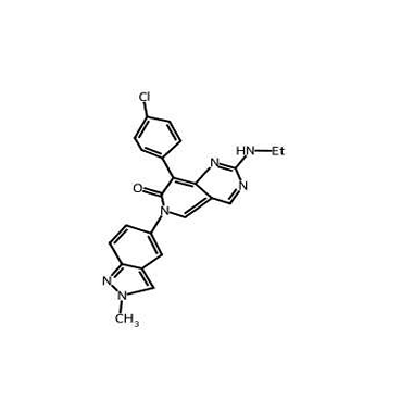 CCNc1ncc2cn(-c3ccc4nn(C)cc4c3)c(=O)c(-c3ccc(Cl)cc3)c2n1